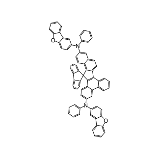 c1ccc(N(c2ccc3c4c(ccc3c2)-c2c(c3ccc(N(c5ccccc5)c5ccc6oc7ccccc7c6c5)cc3c3ccccc23)C42c3ccccc3-c3ccccc32)c2ccc3oc4ccccc4c3c2)cc1